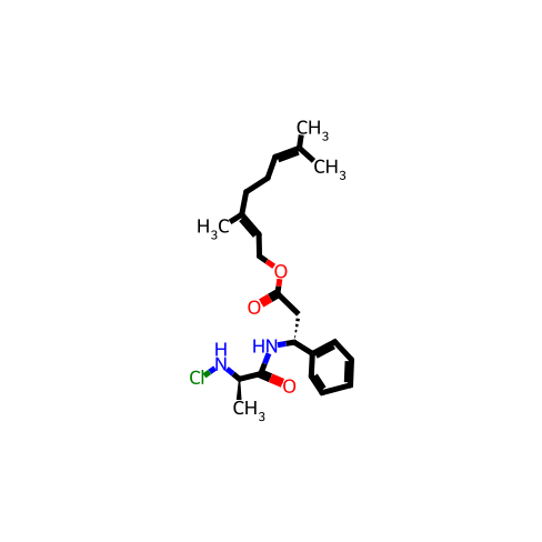 CC(C)=CCC/C(C)=C/COC(=O)C[C@@H](NC(=O)[C@@H](C)NCl)c1ccccc1